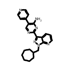 Nc1nc(-c2nn(CC3CCCCCC3)c3ncccc23)ncc1-c1ccncc1